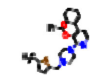 Cc1ccc(CN2CCN(c3nccc(-c4ccccc4)c3OC(=O)C(C)C)CC2)s1